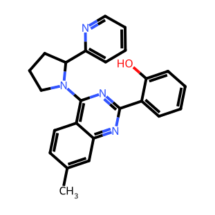 Cc1ccc2c(N3CCCC3c3ccccn3)nc(-c3ccccc3O)nc2c1